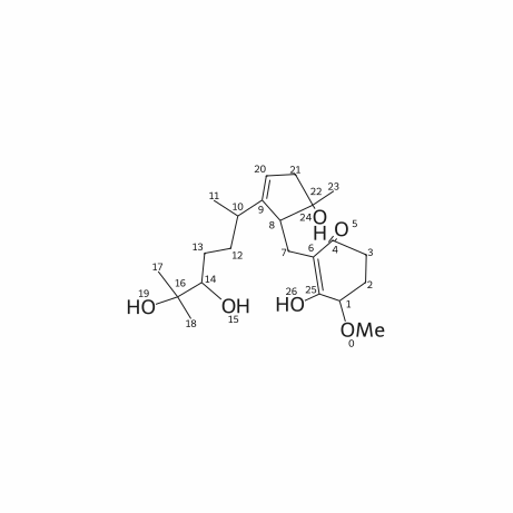 COC1CCC(=O)C(CC2C(C(C)CCC(O)C(C)(C)O)=CCC2(C)O)=C1O